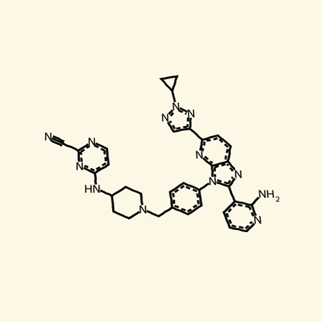 N#Cc1nccc(NC2CCN(Cc3ccc(-n4c(-c5cccnc5N)nc5ccc(-c6cnn(C7CC7)n6)nc54)cc3)CC2)n1